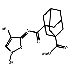 CCCCc1cn(C(C)(C)C)sc1=NC(=O)C12CC3CC(C1)CC(C(=O)OC)(C3)C2